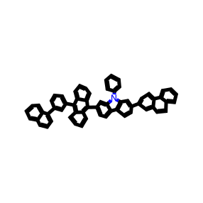 c1ccc(-n2c3cc(-c4ccc5c(ccc6ccccc65)c4)ccc3c3ccc(-c4c5ccccc5c(-c5cccc(-c6cccc7ccccc67)c5)c5ccccc45)cc32)cc1